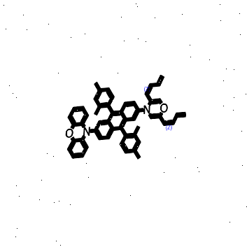 C=C/C=C\C1=CN(c2ccc3c(-c4ccc(C)cc4C)c4cc(N5c6ccccc6Oc6ccccc65)ccc4c(-c4ccc(C)cc4C)c3c2)C(/C=C\C=C)=CO1